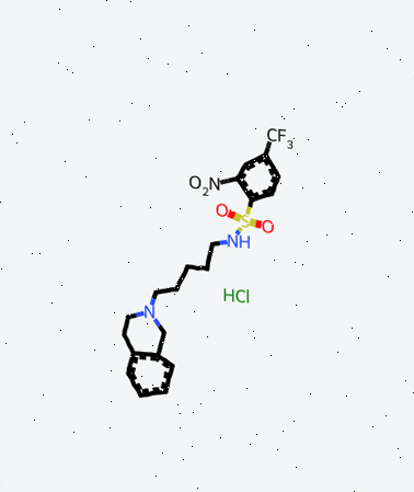 Cl.O=[N+]([O-])c1cc(C(F)(F)F)ccc1S(=O)(=O)NCCCCCN1CCc2ccccc2C1